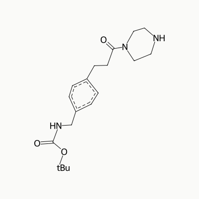 CC(C)(C)OC(=O)NCc1ccc(CCC(=O)N2CCNCC2)cc1